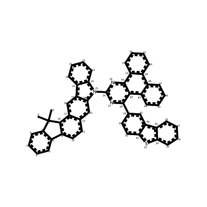 CC1(C)c2ccccc2-c2ccc3cc4c(cc3c21)c1ccccc1n4-c1nc(-c2ccc3sc4ccccc4c3c2)c2c3ccccc3c3ccccc3c2n1